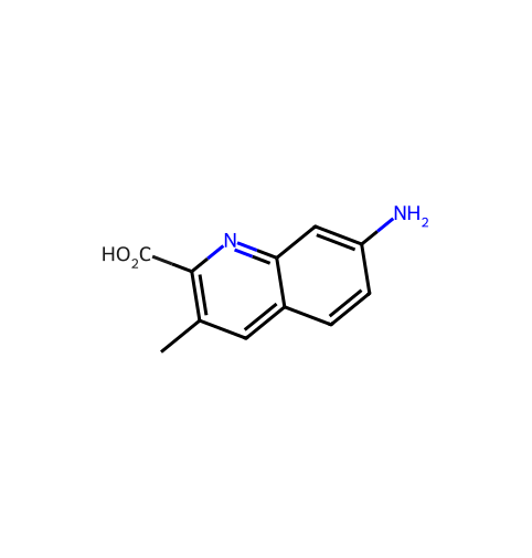 Cc1cc2ccc(N)cc2nc1C(=O)O